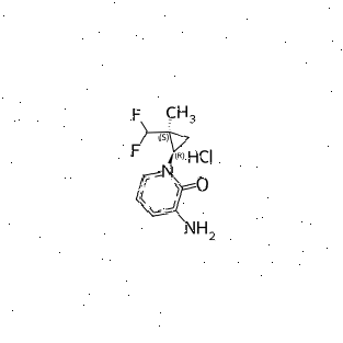 C[C@]1(C(F)F)C[C@H]1n1cccc(N)c1=O.Cl